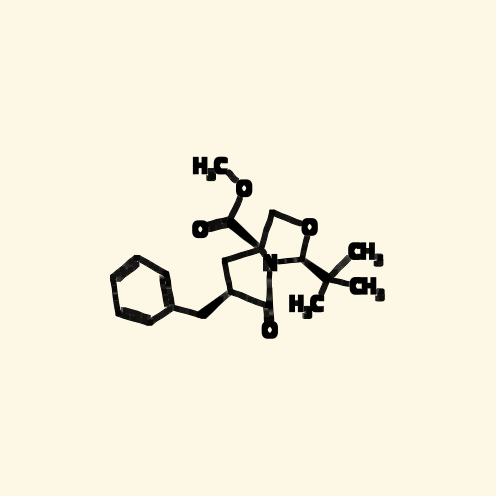 COC(=O)[C@@]12CO[C@@H](C(C)(C)C)N1C(=O)[C@@H](Cc1ccccc1)C2